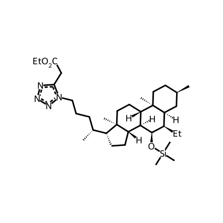 CCOC(=O)Cc1nnnn1CCC[C@@H](C)[C@H]1CC[C@H]2[C@@H]3[C@H](O[Si](C)(C)C)[C@H](CC)[C@@H]4C[C@H](C)CC[C@]4(C)[C@H]3CC[C@]12C